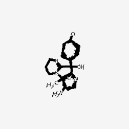 CC(C)(CN)N1CCCN=C1C(O)(c1ccc(Cl)cc1)c1ccccn1